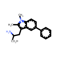 Cc1c(CC(N)C(=O)O)c2cc(-c3ccccc3)ccc2n1C